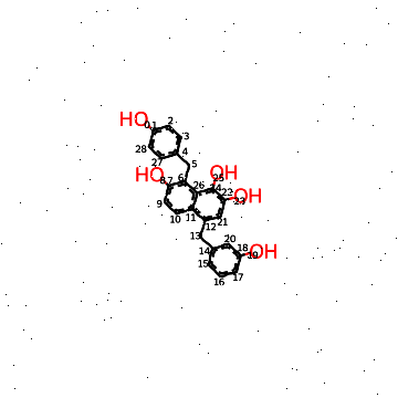 Oc1ccc(Cc2c(O)ccc3c(Cc4cccc(O)c4)cc(O)c(O)c23)cc1